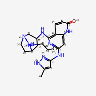 Cc1cc(Nc2cc3[nH]c(=O)ccc3c(NC3CC4CCN(C3)NN4CCC#N)n2)n[nH]1